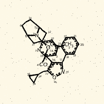 Cc1cc(C(=O)O)nc(N2C3CCC2CC(OCc2c(-c4ccccc4C(F)(F)F)noc2C2CC2)C3)c1